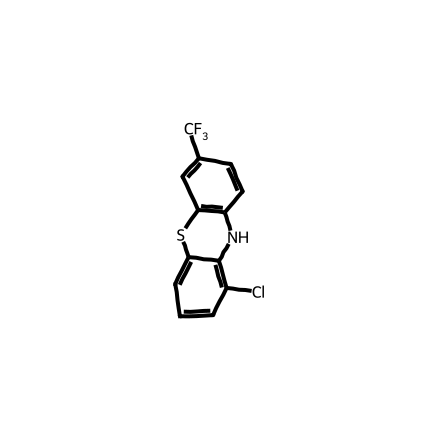 FC(F)(F)c1ccc2c(c1)Sc1cccc(Cl)c1N2